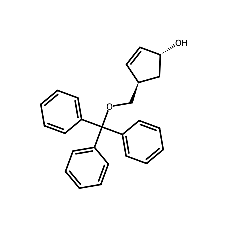 O[C@H]1C=C[C@H](COC(c2ccccc2)(c2ccccc2)c2ccccc2)C1